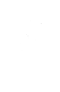 c1ccc(C[N+]2CCCCC2)cc1